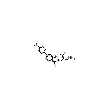 CN(C)c1ccc(-c2ccn3c(=O)n(CC(CN)=C(F)F)nc3c2)cn1